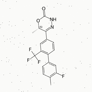 Cc1ccc(-c2ccc(C3=NNC(=O)O[C@H]3C)cc2C(F)(F)F)cc1F